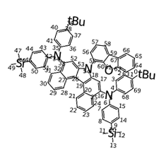 CC(C)(C)c1ccc(N(c2ccc([Si](C)(C)C)cc2)c2cc3c(c4ccccc24)c2c4ccccc4c(N(c4ccc(C(C)(C)C)cc4)c4ccc([Si](C)(C)C)cc4)cc2n3-c2cccc3c2oc2ccccc23)cc1